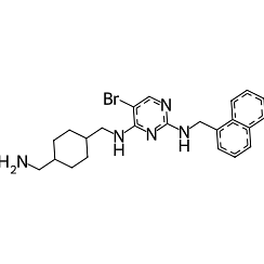 NCC1CCC(CNc2nc(NCc3cccc4ccccc34)ncc2Br)CC1